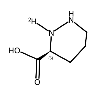 [2H]N1NCCC[C@H]1C(=O)O